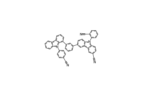 N#Cc1ccc(-n2c3ccccc3c3cccc(-c4cccc(-c5ccc6c(c5)c5cc(C#N)ccc5n6-c5ccccc5C#N)c4)c32)cc1